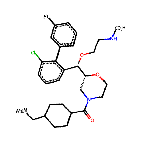 CCc1cccc(-c2c(Cl)cccc2[C@H](OCCNC(=O)O)[C@H]2CN(C(=O)C3CCC(CNC)CC3)CCO2)c1